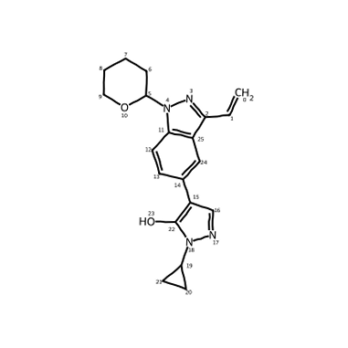 C=Cc1nn(C2CCCCO2)c2ccc(-c3cnn(C4CC4)c3O)cc12